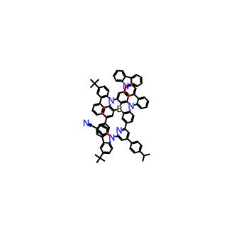 CC(C)c1ccc(-c2cc(-c3ccc4c(c3)B3c5cc(-c6ccccc6)ccc5N(c5ccc(C(C)(C)C)cc5-c5ccccc5)c5cc(-n6c7ccccc7c7ccccc76)cc(c53)N4c3ccccc3-c3ccccc3)nc(-n3c4ccc(C#N)cc4c4cc(C(C)(C)C)ccc43)c2)cc1